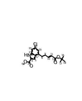 COC(=O)c1cc2c(CCC=CC(=O)OC(C)(C)C)cc(Cl)cc2[nH]1